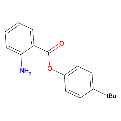 CC(C)(C)c1ccc(OC(=O)c2ccccc2N)cc1